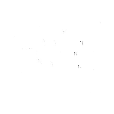 CCN(C(=NN1C=CC=CC1)N(N1C=CC=CC1)N1C=CC=CC1)N1C=CC=CC1